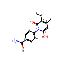 CCc1c(C)cc(O)n(-c2ccc(C(N)=O)cc2)c1=O